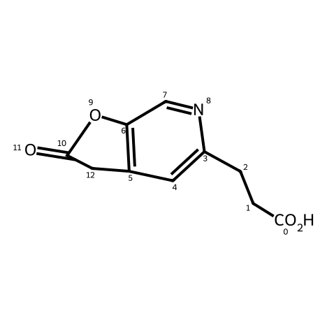 O=C(O)CCc1cc2c(cn1)OC(=O)C2